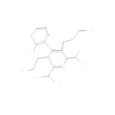 CCCCc1c(C(C)C)nc(C(C)C)c(CCO)c1-c1ccccc1O